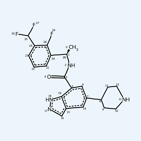 C[C@@H](NC(=O)c1cc(C2CCNCC2)cc2cn[nH]c12)c1cccc(C(F)F)c1F